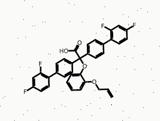 C=CCOc1ccccc1OC(C(=O)O)(c1ccc(-c2ccc(F)cc2F)cc1)c1ccc(-c2ccc(F)cc2F)cc1